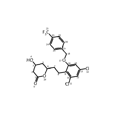 O=C1CC(O)CC(CCc2c(Cl)cc(Cl)cc2OCc2ccc(C(F)(F)F)cc2)O1